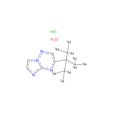 Cl.O.[2H]C([2H])([2H])C(c1cnn2ccnc2n1)(C([2H])([2H])[2H])C([2H])([2H])[2H]